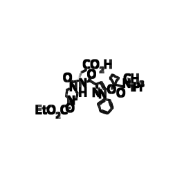 CCOC(=O)ON1CCN(C(=O)[C@H](CCC(=O)O)NC(=O)c2cc(OC3(C(=O)N(C)C(C)C)CCC3)n(-c3ccccc3)n2)CC1